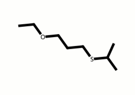 CCOCCCSC(C)C